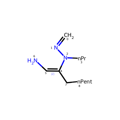 C=NN(CCC)/C(=C\N)CCCCCC